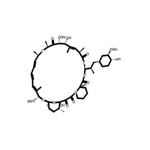 CCC[C@@H]1CC[C@@H](C[C@@H](C)[C@@H]2CC(=O)[C@H](C)/C=C(\C)[C@@H](O)[C@@H](OC)C(=O)[C@H](C)C[C@H](C)/C=C/C=C/C=C(\C)[C@@H](OC)C[C@@H]3CC[C@@H](C)[C@@](O)(O3)C(=O)C(=O)N3CCCC[C@H]3C(=O)O2)C[C@H]1OC